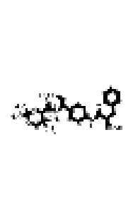 CCCCCCCCCC(Cc1ccccc1)C(=O)NC1CCC(C(CC(=O)O)NC(=O)C2OC(C)(C)OCC2(C)C)CC1